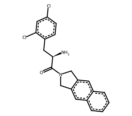 N[C@H](Cc1ccc(Cl)cc1Cl)C(=O)N1Cc2cc3ccccc3cc2C1